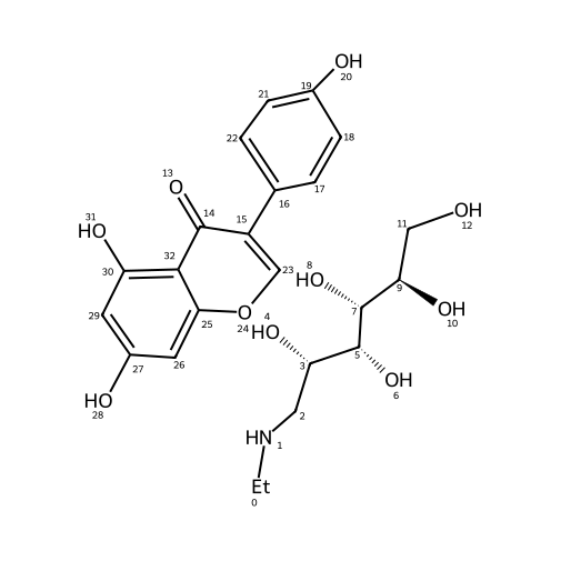 CCNC[C@H](O)[C@@H](O)[C@H](O)[C@H](O)CO.O=c1c(-c2ccc(O)cc2)coc2cc(O)cc(O)c12